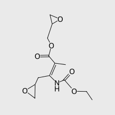 CCOC(=O)NC(CC1CO1)=C(C)C(=O)OCC1CO1